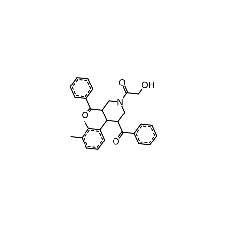 Cc1cccc(C2C(C(=O)c3ccccc3)CN(C(=O)CO)CC2C(=O)c2ccccc2)c1C